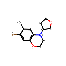 O=C(O)c1cc2c(cc1Br)OCCN2C1CCOC1